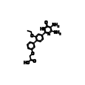 CCOc1cc(-c2nc(N)c(N)c(=O)[nH]2)ccc1-c1cccc(OCC(=O)O)c1